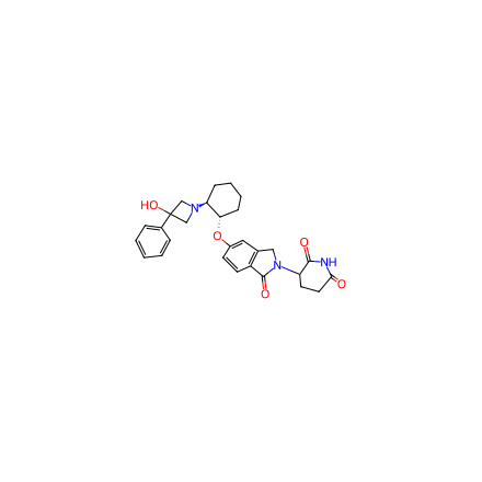 O=C1CCC(N2Cc3cc(O[C@H]4CCCC[C@@H]4N4CC(O)(c5ccccc5)C4)ccc3C2=O)C(=O)N1